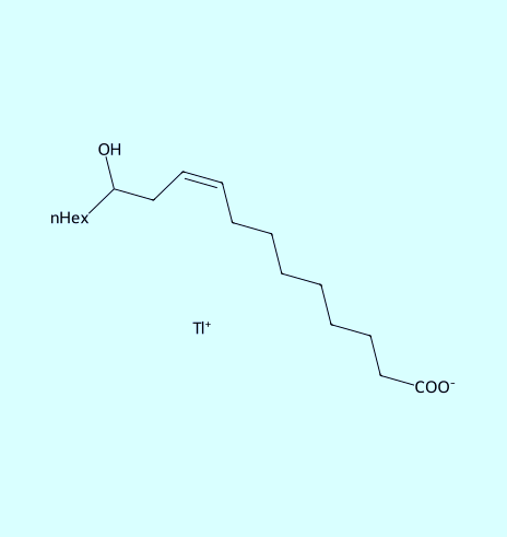 CCCCCCC(O)C/C=C\CCCCCCCC(=O)[O-].[Tl+]